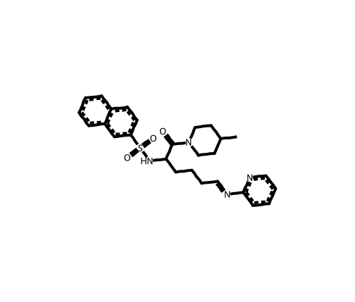 CC1CCN(C(=O)C(CCCC=Nc2ccccn2)NS(=O)(=O)c2ccc3ccccc3c2)CC1